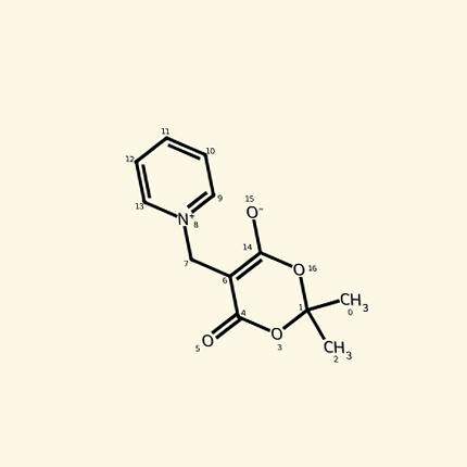 CC1(C)OC(=O)C(C[n+]2ccccc2)=C([O-])O1